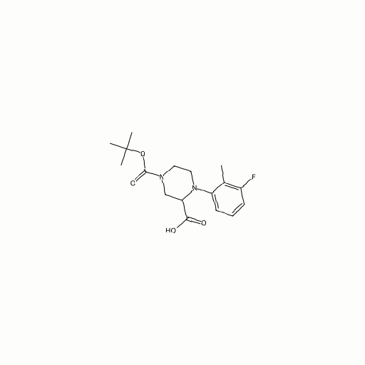 Cc1c(F)cccc1N1CCN(C(=O)OC(C)(C)C)CC1C(=O)O